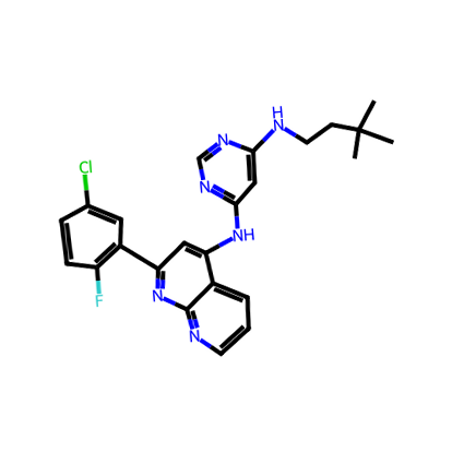 CC(C)(C)CCNc1cc(Nc2cc(-c3cc(Cl)ccc3F)nc3ncccc23)ncn1